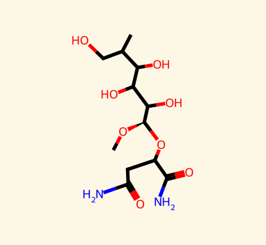 CO[C@H](OC(CC(N)=O)C(N)=O)C(O)C(O)C(O)C(C)CO